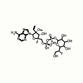 C=C[C@]1(OC)[C@H](n2cnc3c(N)ncnc32)O[C@](F)(COP(=O)(S)OP(=O)(O)OC2OC([C@@H](F)CO)C(O)C(O)C2O)[C@H]1O